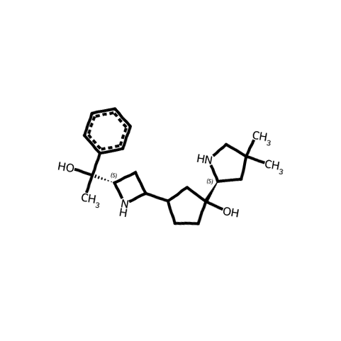 CC1(C)CN[C@H](C2(O)CCC(C3C[C@@H](C(C)(O)c4ccccc4)N3)C2)C1